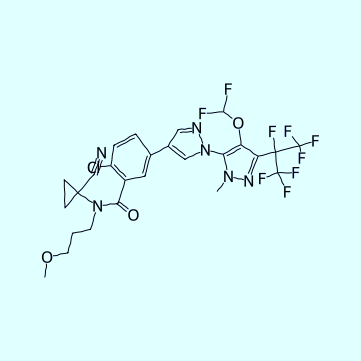 COCCCN(C(=O)c1cc(-c2cnn(-c3c(OC(F)F)c(C(F)(C(F)(F)F)C(F)(F)F)nn3C)c2)ccc1Cl)C1(C#N)CC1